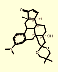 CN(C)c1ccc2c(c1)C[C@]13CCC4(C[C@]1(O)CC[C@@H]1C3C2C[C@]2(C)C(=O)C=C[C@@H]12)OCC(C)(C)CO4